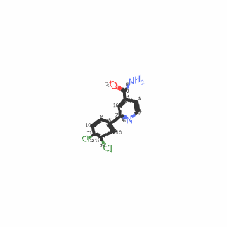 NC(=O)c1ccnc(-c2ccc(Cl)c(Cl)c2)c1